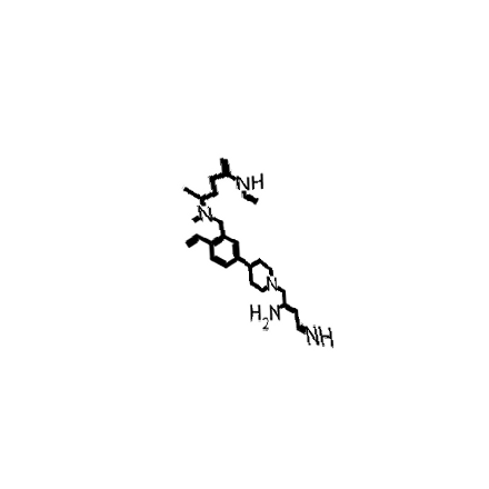 C=CNC(=C)CCC(C)N(C)Cc1cc(C2CCN(C/C(N)=C/C=N)CC2)ccc1C=C